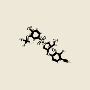 N#Cc1ccc(OC2CN(S(=O)(=O)c3ccc(Cl)c(OC(F)(F)F)c3)C[C@@]2(O)CO)cc1F